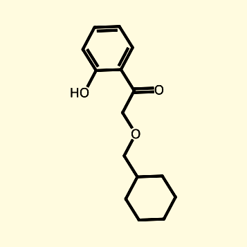 O=C(COCC1CCCCC1)c1ccccc1O